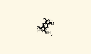 CC1=c2cc3c(cc2C(=O)N1)=C(N)NC3=O